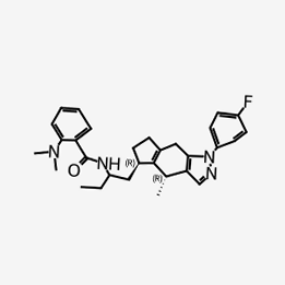 CCC(C[C@H]1CCC2=C1[C@@H](C)c1cnn(-c3ccc(F)cc3)c1C2)NC(=O)c1ccccc1N(C)C